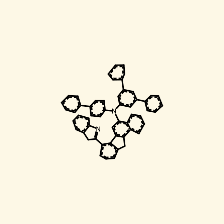 c1ccc(-c2ccc(N(c3cc(-c4ccccc4)cc(-c4ccccc4)c3)c3cc4c(c5ccccc35)Cc3cccc(C5=Nc6ccccc6C5)c3-4)cc2)cc1